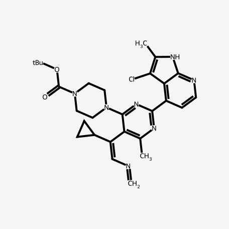 C=N/C=C(\c1c(C)nc(-c2ccnc3[nH]c(C)c(Cl)c23)nc1N1CCN(C(=O)OC(C)(C)C)CC1)C1CC1